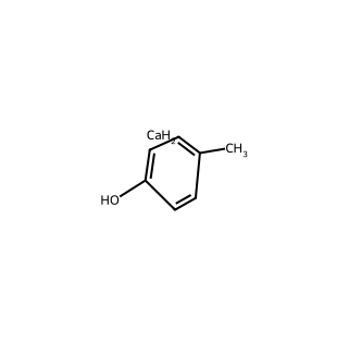 Cc1ccc(O)cc1.[CaH2]